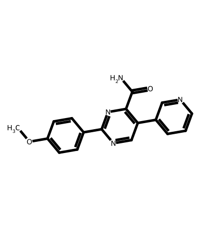 COc1ccc(-c2ncc(-c3cccnc3)c(C(N)=O)n2)cc1